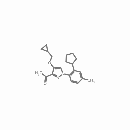 CC(=O)c1nn(-c2ccc(C)cc2C2CCCC2)cc1OCC1CC1